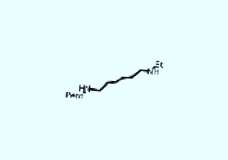 CCCC(C)NCCCCCCNCC